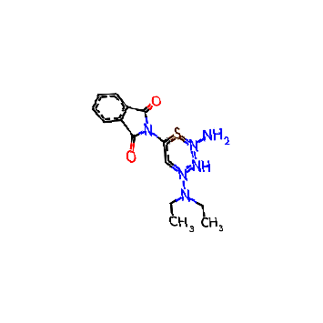 CCN(CC)n1cc(N2C(=O)c3ccccc3C2=O)sn(N)[nH]1